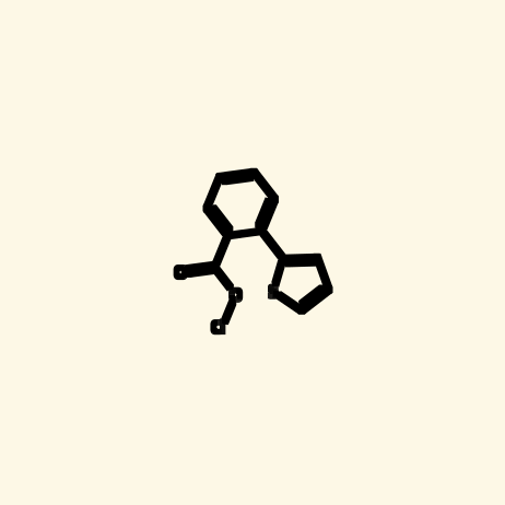 O=C(OCl)c1ccccc1-c1cccs1